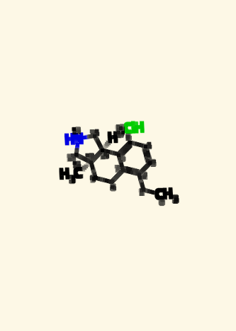 CCc1cccc2c1CC[C@@]1(C)CNC[C@@H]21.Cl